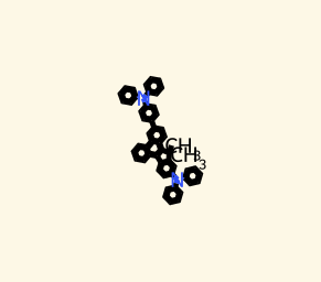 CC1(C)c2cc(N(c3ccccc3)c3ccccc3)ccc2-c2c1c1ccc(-c3ccc(N(c4ccccc4)c4ccccc4)cc3)cc1c1ccccc21